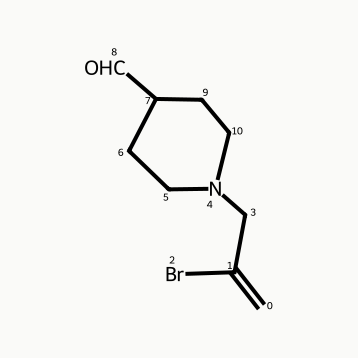 C=C(Br)CN1CCC(C=O)CC1